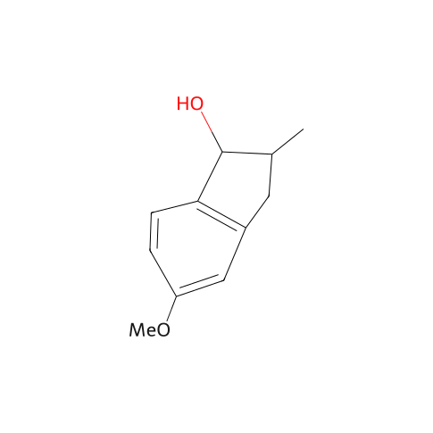 COc1ccc2c(c1)CC(C)C2O